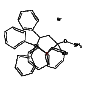 CC(C)(C)C(CC(c1ccccc1)[P+](c1ccccc1)(c1ccccc1)c1ccccc1)(O[SiH3])c1ccccc1.[Br-]